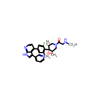 Cc1cc(-c2ccnc3[nH]cc(-c4cccnc4)c23)cc(F)c1[C@@]1(O)[C@H](C)CN(C(=O)CNC(=O)O)C[C@@H]1C